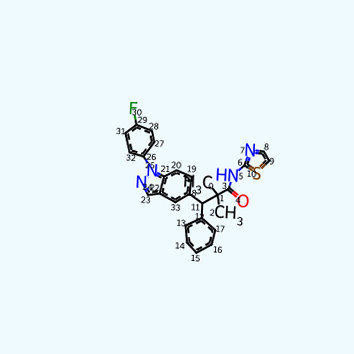 CC(C)(C(=O)Nc1nccs1)C(c1ccccc1)c1ccc2c(cnn2-c2ccc(F)cc2)c1